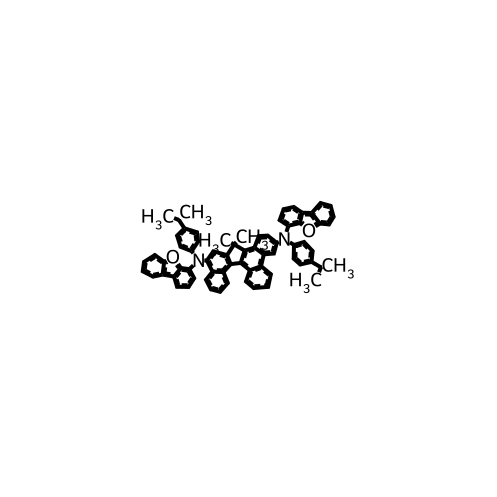 CC(C)c1ccc(N(c2ccc3c4c(c5ccccc5c3c2)-c2c(cc(N(c3ccc(C(C)C)cc3)c3cccc5c3oc3ccccc35)c3ccccc23)C4(C)C)c2cccc3c2oc2ccccc23)cc1